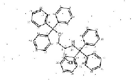 OC[C@H](COC(c1ccccc1)(c1ccccc1)c1ccccc1)NC(c1ccccc1)(c1ccccc1)c1ccccc1